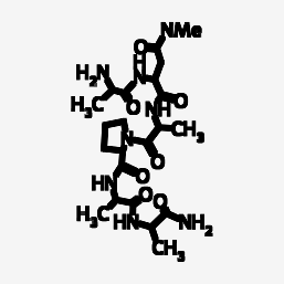 CNC(=O)CC(NC(=O)C(C)N)C(=O)NC(C)C(=O)N1CCCC1C(=O)NC(C)C(=O)NC(C)C(N)=O